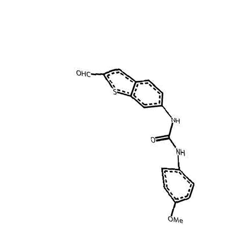 COc1ccc(NC(=O)Nc2ccc3cc(C=O)sc3c2)cc1